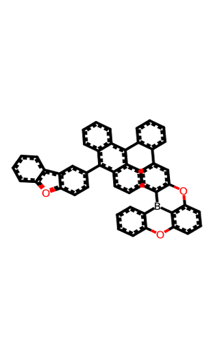 c1ccc2c(c1)Oc1cccc3c1B2c1ccc(-c2ccccc2-c2c4ccccc4c(-c4ccc5oc6ccccc6c5c4)c4ccccc24)cc1O3